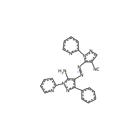 [C-]#[N+]c1cnn(-c2ccccn2)c1/N=N/c1c(-c2ccccc2)nn(-c2ccccn2)c1N